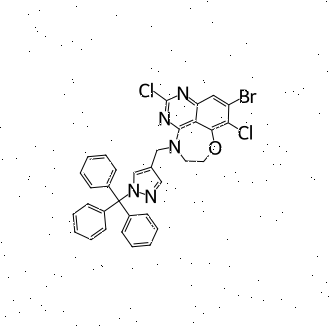 Clc1nc2c3c(c(Cl)c(Br)cc3n1)OCCN2Cc1cnn(C(c2ccccc2)(c2ccccc2)c2ccccc2)c1